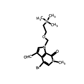 Cn1cc(Br)c2c(C=O)cn(COCC[Si](C)(C)C)c2c1=O